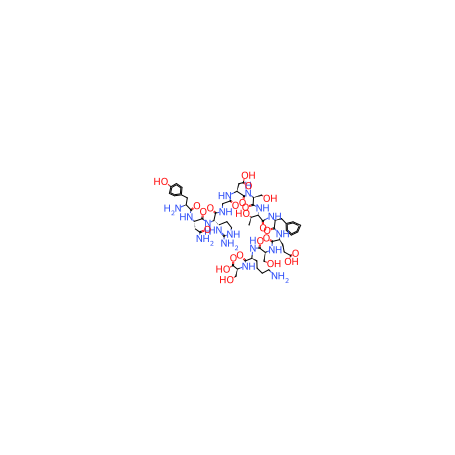 C[C@@H](O)[C@H](NC(=O)[C@H](CO)NC(=O)[C@H](CC(=O)O)NC(=O)CNC(=O)[C@H](CCCNC(=N)N)NC(=O)[C@H](CC(N)=O)NC(=O)[C@@H](N)Cc1ccc(O)cc1)C(=O)N[C@@H](Cc1ccccc1)C(=O)N[C@@H](CCC(=O)O)C(=O)N[C@@H](CO)C(=O)N[C@@H](CCCCN)C(=O)N[C@@H](CO)C(=O)O